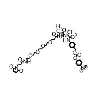 C[C@H](NC(=O)CCOCCOCCOCCOCCNC(=O)CCN1C(=O)C=CC1=O)C(=O)N[C@@H](C)C(=O)Nc1ccc(COC(=O)Oc2ccc([N+](=O)[O-])cc2)cc1